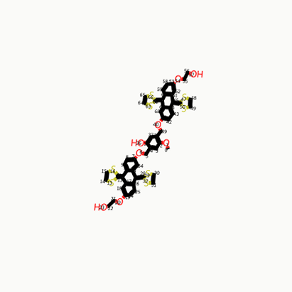 COc1cc(COc2ccc3c(=C4SC=CS4)c4cc(OCCO)ccc4c(=C4SC=CS4)c3c2)c(O)cc1COc1ccc2c(=C3SC=CS3)c3cc(OCCO)ccc3c(=C3SC=CS3)c2c1